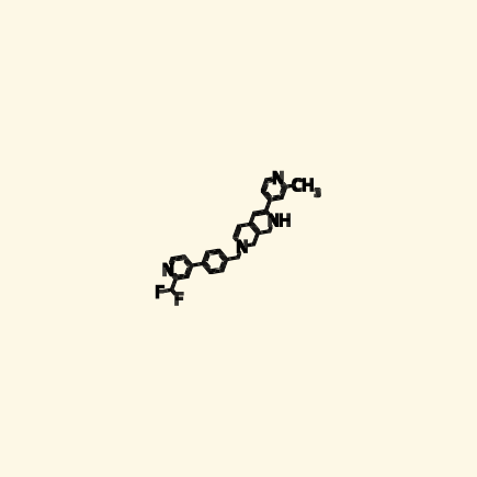 Cc1cc(C2=CC3=C(CN2)CN(Cc2ccc(-c4ccnc(C(F)F)c4)cc2)C=C3)ccn1